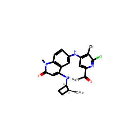 CNC(=O)c1cc(Nc2ccc3c(c2)c(N[C@@H]2CC[C@@H]2OC)cc(=O)n3C)c(C#N)c(Cl)n1